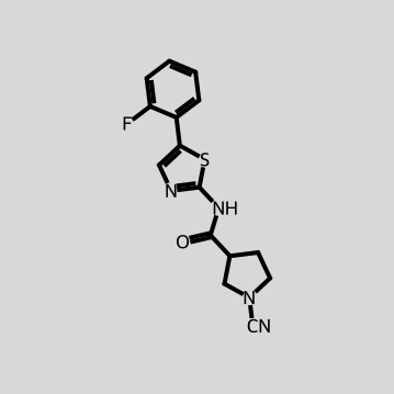 N#CN1CCC(C(=O)Nc2ncc(-c3ccccc3F)s2)C1